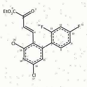 CCOC(=O)C(=O)/C=C/c1c(-c2ccc(F)cc2F)cc(Cl)nc1Cl